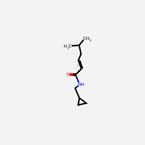 CC(C)C/C=C/C(=O)NCC1CC1